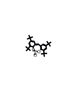 CC(C)(C)C1=C/C2=C/c3cc(C(C)(C)C)cc(C(C)(C)C)c3OP(Cl)OC2C(C(C)(C)C)=C1